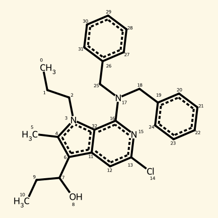 CCCn1c(C)c(C(O)CC)c2cc(Cl)nc(N(Cc3ccccc3)Cc3ccccc3)c21